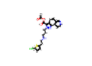 O=C(OC(=O)C(F)(F)F)c1c2c(nn1CCCNCCc1ccc(Cl)s1)-c1ccncc1CC2